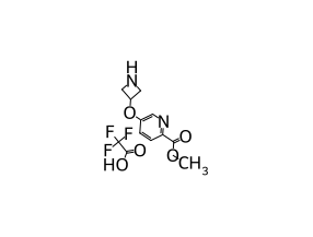 COC(=O)c1ccc(OC2CNC2)cn1.O=C(O)C(F)(F)F